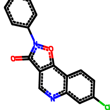 O=c1c2cnc3cc(Cl)ccc3c2on1-c1ccccc1